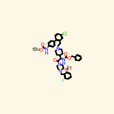 CCOc1cccc(F)c1CN1CCN(C(=O)[C@H](NC(=O)OCc2ccccc2)C2CCN(CCc3cc(Cl)ccc3-c3ccc(NC(=O)OC(C)(C)C)cc3)CC2)CC1